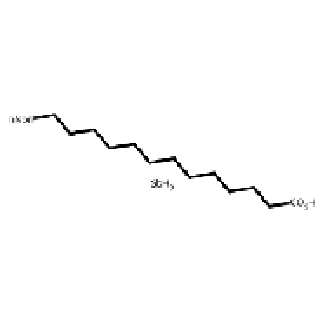 CCCCCCCCCCCCCCCCCCCCCC(=O)O.[SbH3]